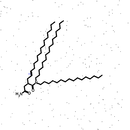 CCCCCCCCCCCCC/C=C/CC(CC(N)=O)C(=O)N(CCCCCCCCCCCCCCCC)CCCCCCCCCCCCCCCC